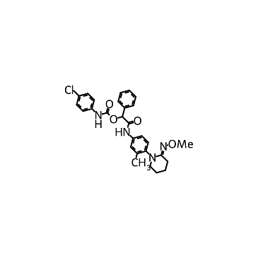 CON=C1CCCCN1c1ccc(NC(=O)C(OC(=O)Nc2ccc(Cl)cc2)c2ccccc2)cc1C